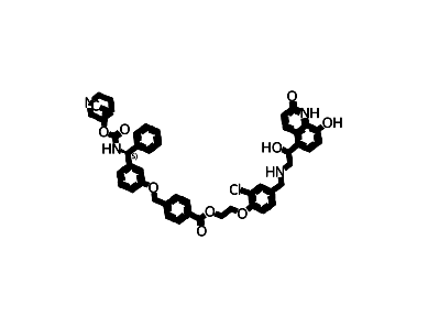 O=C(N[C@@H](c1ccccc1)c1cccc(OCc2ccc(C(=O)OCCOc3ccc(CNCC(O)c4ccc(O)c5[nH]c(=O)ccc45)cc3Cl)cc2)c1)OC1CN2CCC1CC2